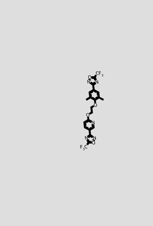 Cc1cc(-c2noc(C(F)(F)F)n2)cc(C)c1OCCOc1ccc(-c2noc(C(F)(F)F)n2)cn1